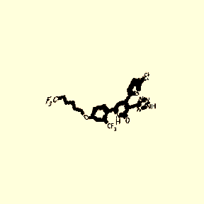 CCc1ccc(-c2cc(-c3ccc(OCCCCCC(F)(F)F)cc3C(F)(F)F)[nH]c(=O)c2-c2nn[nH]n2)s1